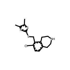 Cc1nc(SCc2c(Cl)ccc3c2CCNCC3)sc1C